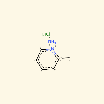 Cc1ccccn1.Cl.N